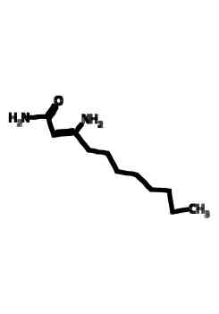 CCCCCCCC/C(N)=C/C(N)=O